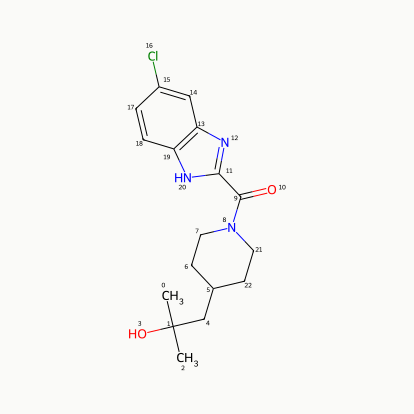 CC(C)(O)CC1CCN(C(=O)c2nc3cc(Cl)ccc3[nH]2)CC1